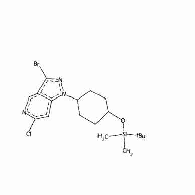 CC(C)(C)[Si](C)(C)OC1CCC(n2nc(Br)c3cnc(Cl)cc32)CC1